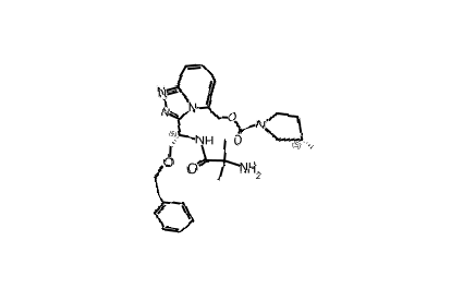 C[C@H]1CCN(C(=O)OCc2cccc3nnc([C@@H](COCc4ccccc4)NC(=O)C(C)(C)N)n23)C1